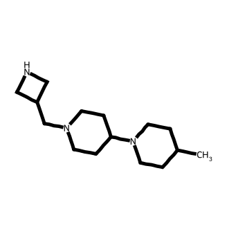 CC1CCN(C2CCN(CC3CNC3)CC2)CC1